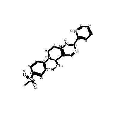 COC1c2cnc(-c3ccccn3)nc2CCN1c1ccc(S(C)(=O)=O)cc1